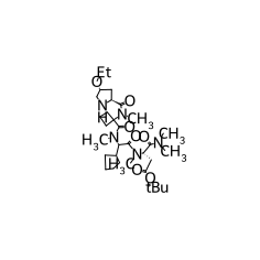 CCO[C@H]1CN[C@H](C(=O)N(C)C2(C(=O)N(C)[C@H](C(=O)N(C)[C@@H](CC(=O)OC(C)(C)C)C(=O)N(C)C)C3CCCC3)CCC2)C1